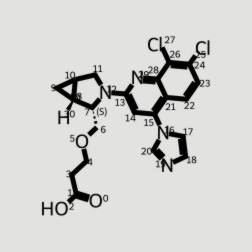 O=C(O)CCOC[C@@H]1[C@@H]2CC2CN1c1cc(-n2ccnc2)c2ccc(Cl)c(Cl)c2n1